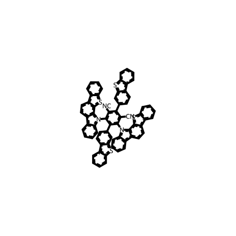 N#Cc1c(-c2ccc3c(c2)sc2ccccc23)c(C#N)c(-n2c3ccccc3c3ccc4c5ccccc5sc4c32)c(-c2ccc3c(c2)sc2ccccc23)c1-n1c2ccccc2c2ccc3c4ccccc4sc3c21